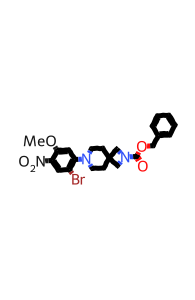 COc1cc(N2CCC3(CC2)CN(C(=O)OCc2ccccc2)C3)c(Br)cc1[N+](=O)[O-]